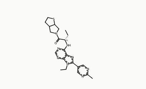 CC[C@H](Nc1ncnc2c1nc(-c1cnc(C)nc1)n2CC)C(=O)N1CC2CCSC2C1